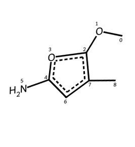 COc1oc(N)cc1C